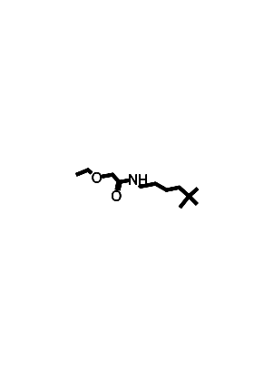 CCOCC(=O)NCCCCC(C)(C)C